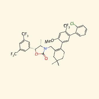 COc1cc(C(F)(F)F)c(-c2ccccc2Cl)cc1C1=C(CN2C(=O)O[C@H](c3cc(C(F)(F)F)cc(C(F)(F)F)c3)[C@@H]2C)CC(C)(C)CC1